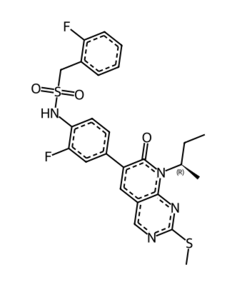 CC[C@@H](C)n1c(=O)c(-c2ccc(NS(=O)(=O)Cc3ccccc3F)c(F)c2)cc2cnc(SC)nc21